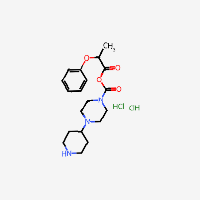 CC(Oc1ccccc1)C(=O)OC(=O)N1CCN(C2CCNCC2)CC1.Cl.Cl